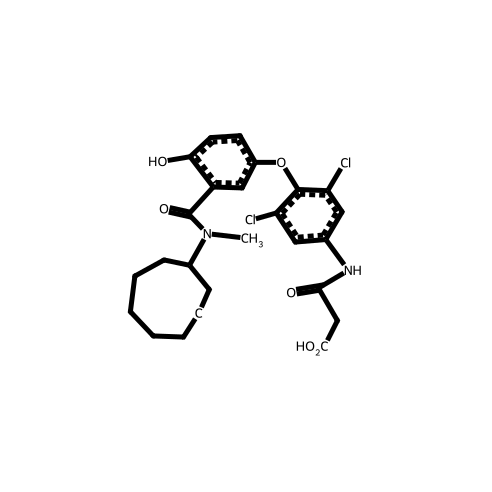 CN(C(=O)c1cc(Oc2c(Cl)cc(NC(=O)CC(=O)O)cc2Cl)ccc1O)C1CCCCCCC1